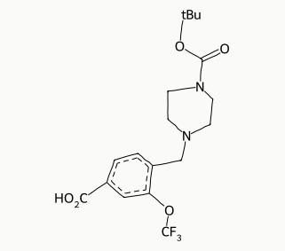 CC(C)(C)OC(=O)N1CCN(Cc2ccc(C(=O)O)cc2OC(F)(F)F)CC1